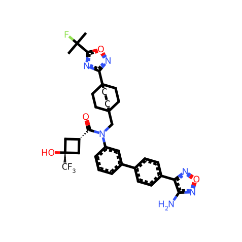 CC(C)(F)c1nc(C23CCC(CN(c4cccc(-c5ccc(-c6nonc6N)cc5)c4)C(=O)[C@H]4C[C@](O)(C(F)(F)F)C4)(CC2)CC3)no1